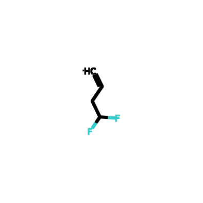 [CH]=CCC(F)F